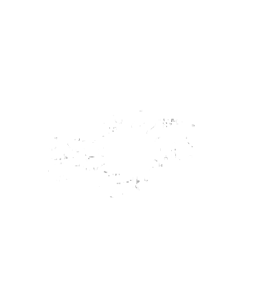 CCn1c(-c2cccnc2[C@H](C)OC)c2c3cc(ccc31)-c1csc(n1)[C@@H](OC)[C@H](N(Cc1ccccc1)Cc1ccccc1)C(=O)N1CCC[C@H](N1)C(=O)OCC(C)(C)C2